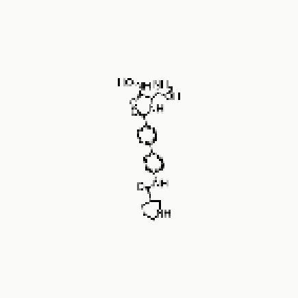 N[C@@H](O)[C@H](NC(=O)c1ccc(-c2ccc(NC(=O)C3CCCNC3)cc2)cc1)C(=O)NO